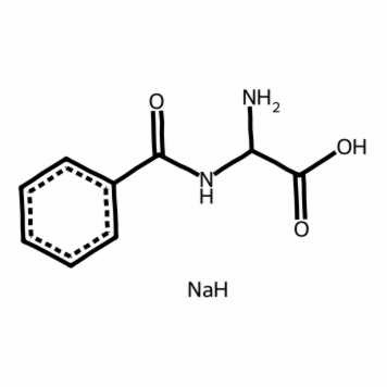 NC(NC(=O)c1ccccc1)C(=O)O.[NaH]